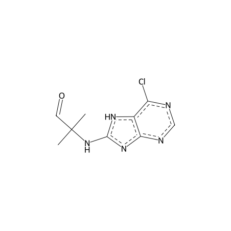 CC(C)(C=O)Nc1nc2ncnc(Cl)c2[nH]1